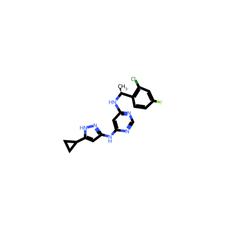 C[C@@H](Nc1cc(Nc2cc(C3CC3)[nH]n2)ncn1)c1ccc(F)cc1Cl